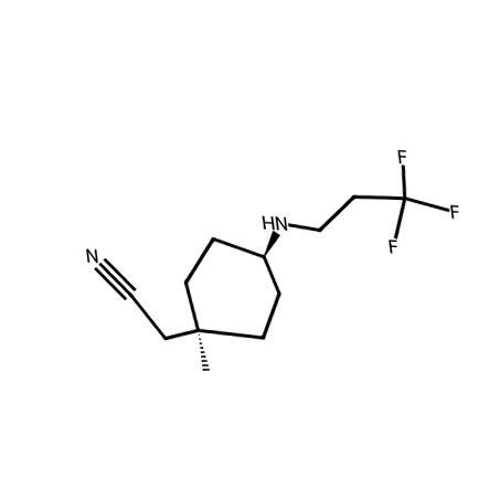 C[C@]1(CC#N)CC[C@@H](NCCC(F)(F)F)CC1